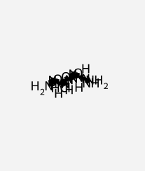 Cl.Cn1cc(N)cc1C(=O)Nc1cc(C(=O)Nc2cn(C)c(C(=O)NCCNC(=N)N)n2)n(C)c1